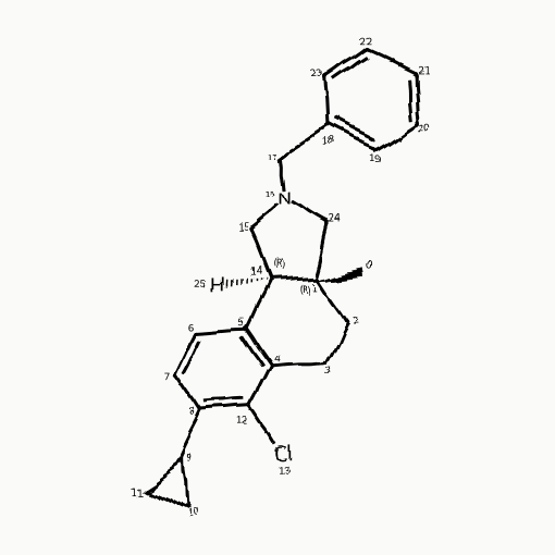 C[C@@]12CCc3c(ccc(C4CC4)c3Cl)[C@H]1CN(Cc1ccccc1)C2